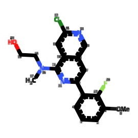 COc1cccc(-c2cc3cnc(Cl)cc3c(N(C)CCO)n2)c1F